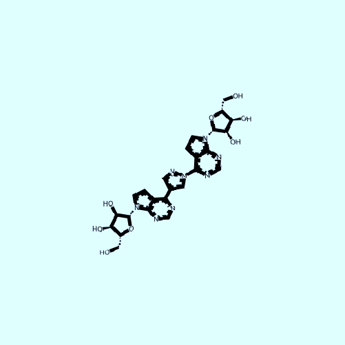 OC[C@H]1O[C@@H](n2ccc3c(-n4cc(-c5ncnc6c5ccn6[C@@H]5O[C@H](CO)[C@@H](O)C5O)cn4)ncnc32)[C@H](O)[C@@H]1O